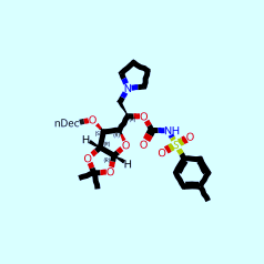 CCCCCCCCCCO[C@@H]1[C@H]2OC(C)(C)O[C@H]2O[C@@H]1[C@@H](CN1CCCC1)OC(=O)NS(=O)(=O)c1ccc(C)cc1